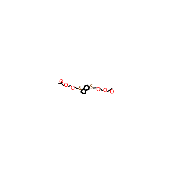 c1cc(SCCOCCOCC2CO2)c2ccc(SCCOCCOCC3CO3)cc2c1